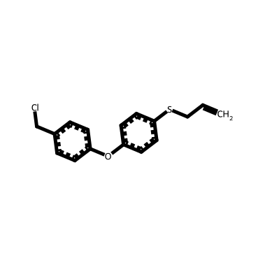 C=CCSc1ccc(Oc2ccc(CCl)cc2)cc1